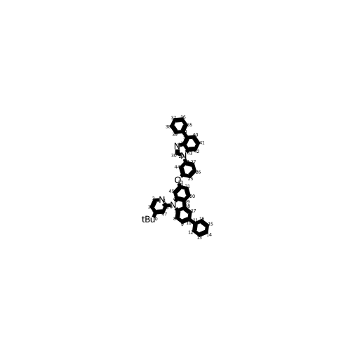 CC(C)(C)c1ccnc(-n2c3ccc(-c4ccccc4)cc3c3ccc(Oc4cccc(-n5cnc6c(-c7ccccc7)cccc65)c4)cc32)c1